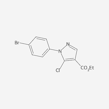 CCOC(=O)c1cnn(-c2ccc(Br)cc2)c1Cl